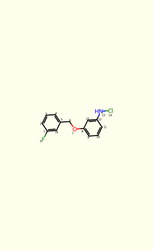 Fc1cccc(COc2cccc(NCl)c2)c1